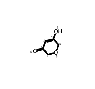 O=C1C=C(O)COC1